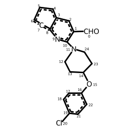 O=Cc1cc2ccccc2nc1N1CCC(Oc2ccc(Cl)cc2)CC1